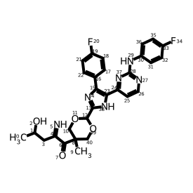 CC(O)CC(=N)C(=O)C1(C)COC(c2nc(-c3ccc(F)cc3)c(-c3ccnc(Nc4ccc(F)cc4)n3)[nH]2)OC1